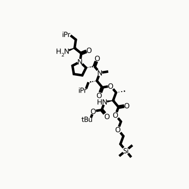 CC(C)C[C@H](N)C(=O)N1CCC[C@H]1C(=O)N(C)[C@@H](CC(C)C)C(=O)O[C@H](C)[C@H](NC(=O)OC(C)(C)C)C(=O)OCOCC[Si](C)(C)C